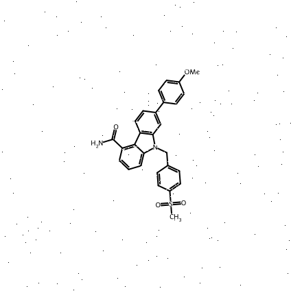 COc1ccc(-c2c[c]c3c4c(C(N)=O)cccc4n(Cc4ccc(S(C)(=O)=O)cc4)c3c2)cc1